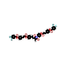 CC(CC1C(=O)N(c2ccc(OC(=O)/C=C/c3ccc(OC(=O)c4ccc(F)c(F)c4)cc3)cc2)C(=O)C1C)c1ccc(OC(=O)/C=C/c2ccc(OC(=O)c3ccc(F)c(F)c3)cc2)cc1